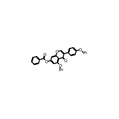 CC(C)Oc1ccc(-c2coc3cc(OC(=O)c4ccccc4)cc(OC(C)C)c3c2=O)cc1